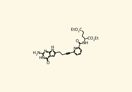 CCOC(=O)CC[C@H](NC(=O)c1cccc(C#CCCc2cc3c(=O)[nH]c(N)nc3[nH]2)n1)C(=O)OCC